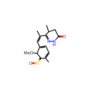 COC1C(C=C(C)C2=NNC(=O)CC2C)=CC=C(C)C1=S=O